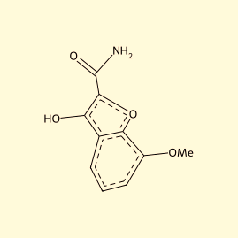 COc1cccc2c(O)c(C(N)=O)oc12